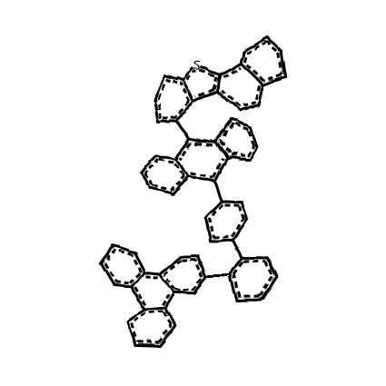 c1ccc(-c2ccc3c4ccccc4c4ccccc4c3c2)c(-c2ccc(-c3c4ccccc4c(-c4cccc5sc6c7ccccc7ccc6c45)c4ccccc34)cc2)c1